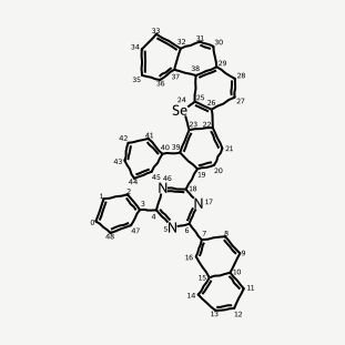 c1ccc(-c2nc(-c3ccc4ccccc4c3)nc(-c3ccc4c([se]c5c4ccc4ccc6ccccc6c45)c3-c3ccccc3)n2)cc1